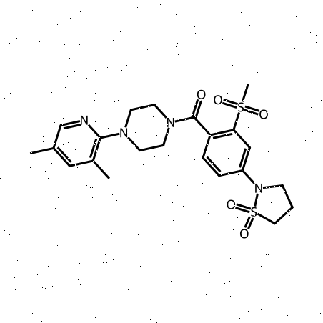 Cc1cnc(N2CCN(C(=O)c3ccc(N4CCCS4(=O)=O)cc3S(C)(=O)=O)CC2)c(C)c1